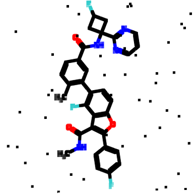 CNC(=O)c1c(-c2ccc(F)cc2)oc2ccc(-c3cc(C(=O)NC4(c5ncccn5)CC(F)C4)ccc3C)c(F)c12